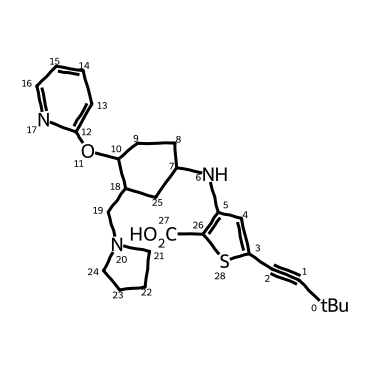 CC(C)(C)C#Cc1cc(NC2CCC(Oc3ccccn3)C(CN3CCCC3)C2)c(C(=O)O)s1